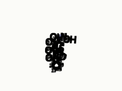 O=C(O)C1=C(/C=N\O)CS[C@@H]2[C@H](N3C(=O)c4ccccc4C3=O)C(=O)N12